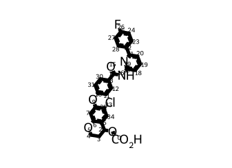 O=C(O)OC1CCOc2cc(Oc3ccc(C(=O)Nc4cccc(-c5ccc(F)cc5)n4)cc3)c(Cl)cc21